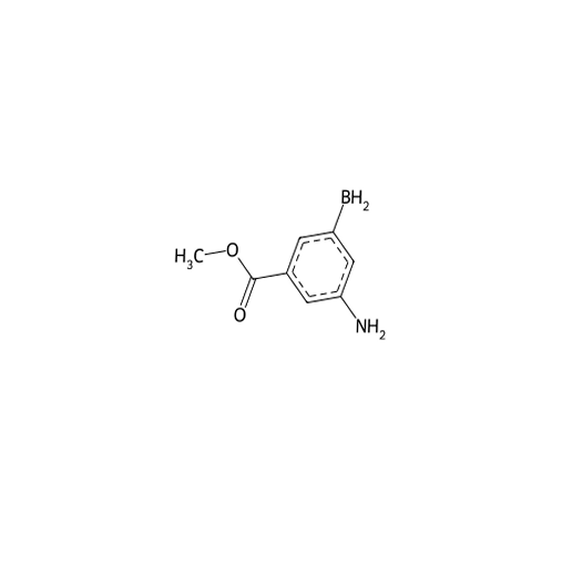 Bc1cc(N)cc(C(=O)OC)c1